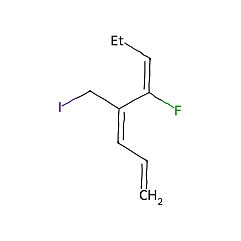 C=C/C=C(CI)\C(F)=C/CC